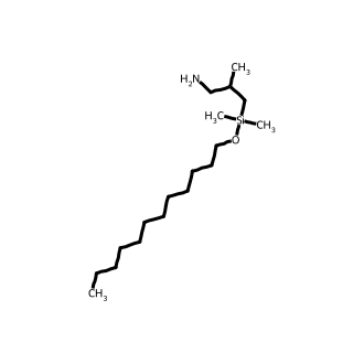 CCCCCCCCCCCCO[Si](C)(C)CC(C)CN